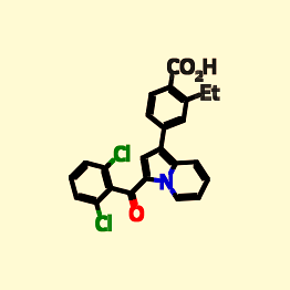 CCc1cc(-c2cc(C(=O)c3c(Cl)cccc3Cl)n3ccccc23)ccc1C(=O)O